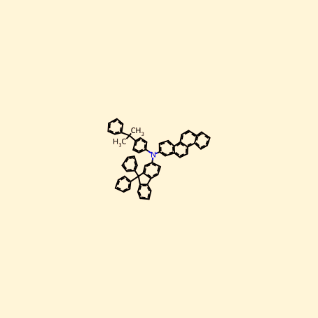 CC(C)(c1ccccc1)c1ccc(N(c2ccc3c(c2)C(c2ccccc2)(c2ccccc2)c2ccccc2-3)c2ccc3c(ccc4c5ccccc5ccc34)c2)cc1